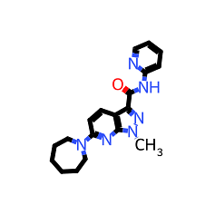 Cn1nc(C(=O)Nc2ccccn2)c2ccc(N3CCCCCC3)nc21